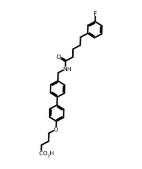 O=C(O)CCCOc1ccc(-c2ccc(CNC(=O)CCCCc3cccc(F)c3)cc2)cc1